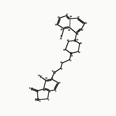 O=C1NCc2ccc(OCCCN3CCN(c4cccc5cccc(F)c45)CC3)c(F)c21